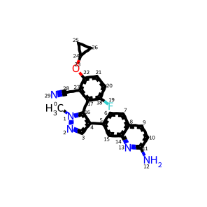 Cn1ncc(-c2ccc3ccc(N)nc3c2)c1-c1c(F)ccc(OC2CC2)c1C#N